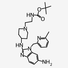 Cc1cccc(Cn2c(NC3CCN(CCNC(=O)OC(C)(C)C)CC3)nc3ccc(N)cc32)n1